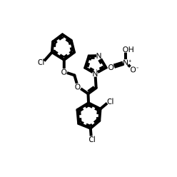 Clc1ccc(C(=Cn2ccnc2)OCOc2ccccc2Cl)c(Cl)c1.O=[N+]([O-])O